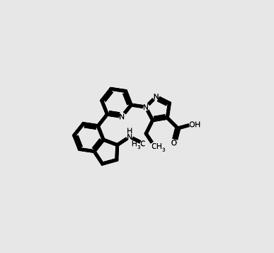 CCc1c(C(=O)O)cnn1-c1cccc(-c2cccc3c2C(NC)CC3)n1